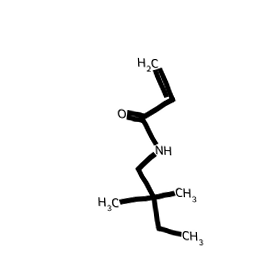 C=CC(=O)NCC(C)(C)CC